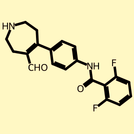 O=CC1=C(c2ccc(NC(=O)c3c(F)cccc3F)cc2)CCNCC1